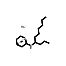 CCCCCCC(CCC)NC1CC2CCN1CC2.Cl